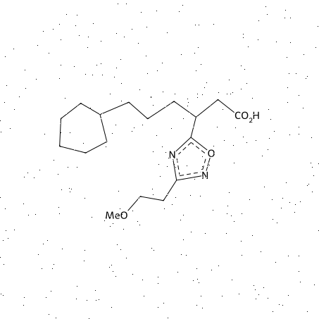 COCCc1noc(C(CCCC2CCCCC2)CC(=O)O)n1